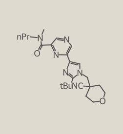 CCCN(C)C(=O)c1cncc(-c2cn(CC3(C#N)CCOCC3)c(C(C)(C)C)n2)n1